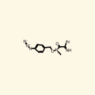 CC(=O)C(=N)C(=O)N(C)OCc1ccc(N=[N+]=[N-])cc1